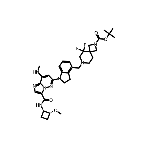 CNc1cc(N2CCc3c(CN4CCC5(CN(C(=O)OC(C)(C)C)C5)C(F)(F)C4)cccc32)nn2c(C(=O)N[C@@H]3CC[C@H]3OC)cnc12